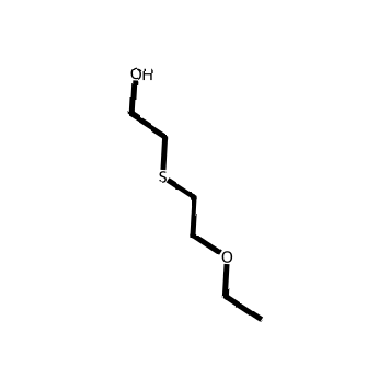 CCOCCSCCO